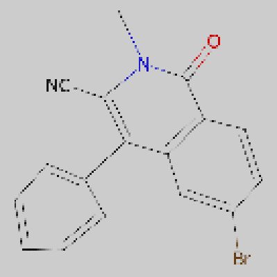 Cn1c(C#N)c(-c2ccccc2)c2cc(Br)ccc2c1=O